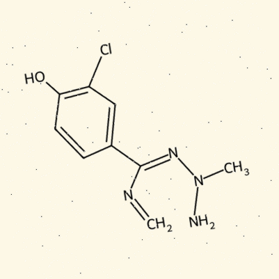 C=N/C(=N\N(C)N)c1ccc(O)c(Cl)c1